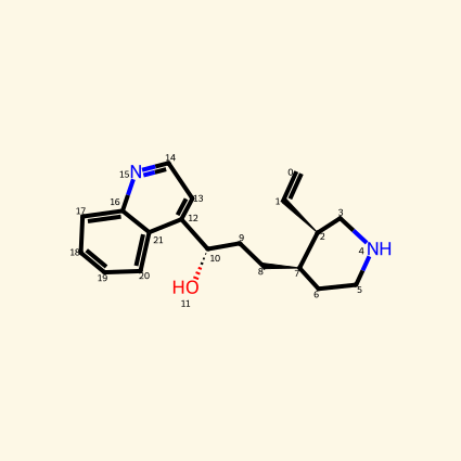 C=C[C@H]1CNCC[C@H]1CC[C@H](O)c1ccnc2ccccc12